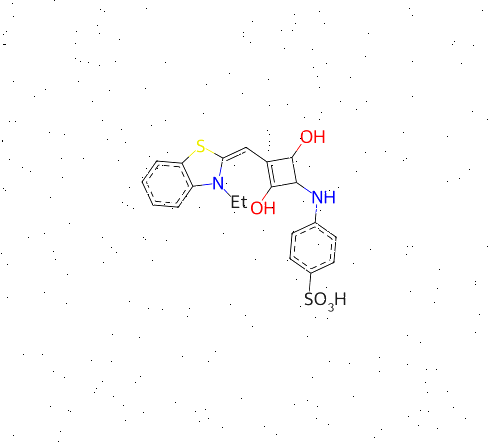 CCN1C(=CC2=C(O)C(Nc3ccc(S(=O)(=O)O)cc3)C2O)Sc2ccccc21